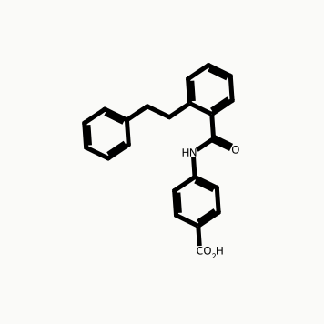 O=C(O)c1ccc(NC(=O)c2ccccc2CCc2ccccc2)cc1